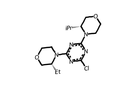 CC[C@@H]1COCCN1c1nc(Cl)nc(N2CCOC[C@H]2C(C)C)n1